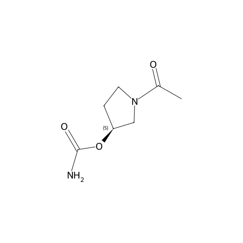 CC(=O)N1CC[C@H](OC(N)=O)C1